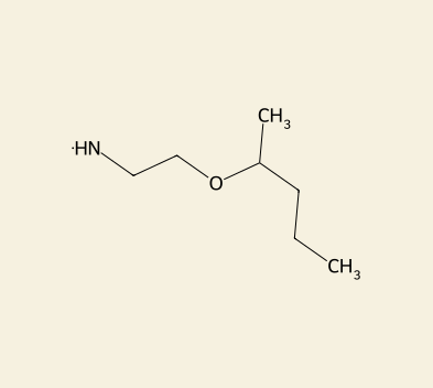 CCCC(C)OCC[NH]